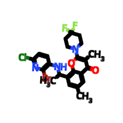 Cc1cc(C(C)Nc2ccc(Cl)nc2Br)c2oc(N3CCC(F)(F)CC3)c(C)c(=O)c2c1